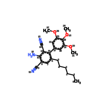 CCCCCCc1cc(C#N)c(N)c(C#N)c1-c1cc(OC)c(OC)c(OC)c1